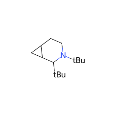 CC(C)(C)C1C2CC2CCN1C(C)(C)C